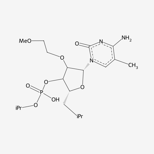 COCCOC1C(OP(=O)(O)OC(C)C)[C@@H](CC(C)C)O[C@H]1n1cc(C)c(N)nc1=O